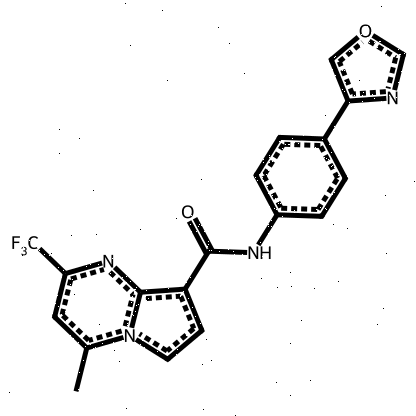 Cc1cc(C(F)(F)F)nc2c(C(=O)Nc3ccc(-c4cocn4)cc3)ccn12